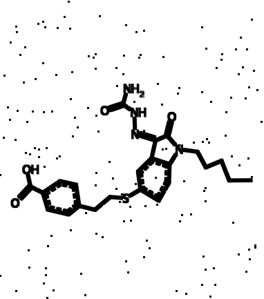 CCCCCN1C(=O)C(=NNC(N)=O)c2cc(SCCc3ccc(C(=O)O)cc3)ccc21